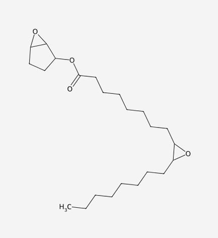 CCCCCCCCC1OC1CCCCCCCC(=O)OC1CCC2OC12